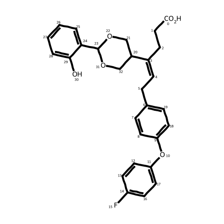 O=C(O)CC/C(=C/Cc1ccc(Oc2ccc(F)cc2)cc1)C1COC(c2ccccc2O)OC1